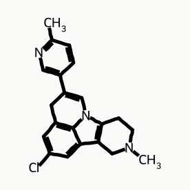 Cc1ccc(C2=Cn3c4c(c5cc(Cl)cc(c53)C2)CN(C)CC4)cn1